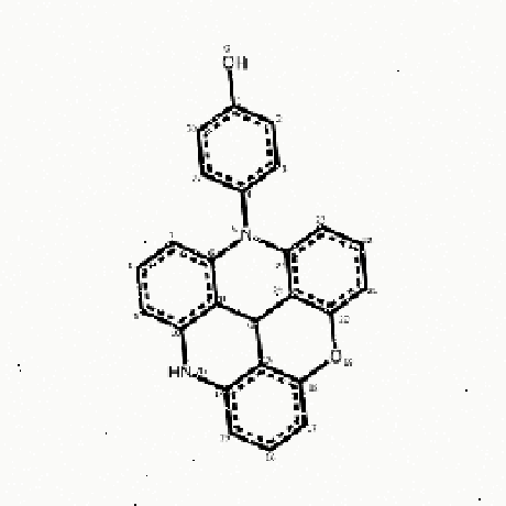 Oc1ccc(N2c3cccc4c3C3c5c(cccc5Oc5cccc2c53)N4)cc1